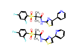 CC(C)(C(=O)Nc1nc(-c2ccccn2)cs1)S(=O)(=O)c1ccc(F)cc1F.CC(C)(C(=O)Nc1nc(-c2cccnc2)cs1)S(=O)(=O)c1ccc(F)cc1F